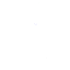 CC(Cc1cccc(C(F)(F)F)c1)NCCF